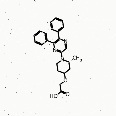 C[C@@H]1CC(OCC(=O)O)CCN1c1cnc(-c2ccccc2)c(-c2ccccc2)n1